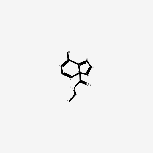 CCOC(=O)C12C=CC=C(C)C1=CC=C2